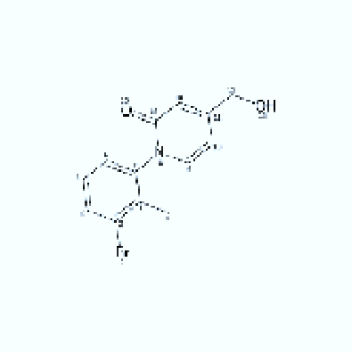 Cc1c(Br)cccc1-n1ccc(CO)cc1=O